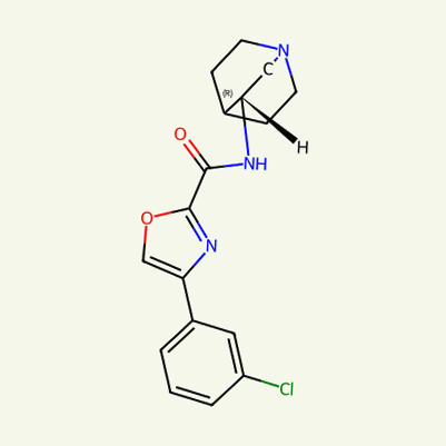 O=C(N[C@H]1CN2CCC1CC2)c1nc(-c2cccc(Cl)c2)co1